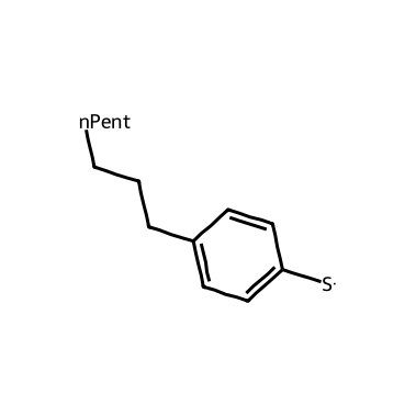 CCCCCCCCc1ccc([S])cc1